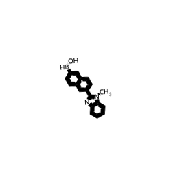 Cn1c(-c2ccc3cc(BO)ccc3c2)nc2ccccc21